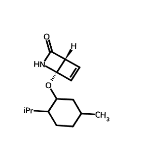 CC1CCC(C(C)C)C(O[C@@]23C=C[C@H]2C(=O)N3)C1